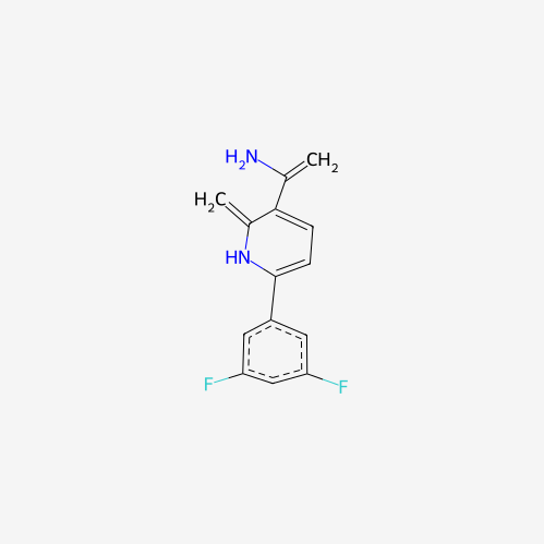 C=C(N)C1=CC=C(c2cc(F)cc(F)c2)NC1=C